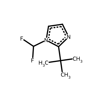 CC(C)(C)c1nccn1C(F)F